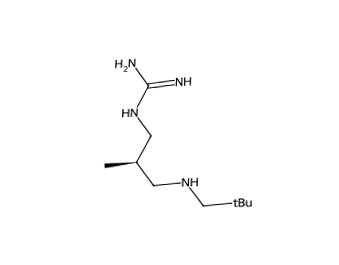 C[C@H](CNCC(C)(C)C)CNC(=N)N